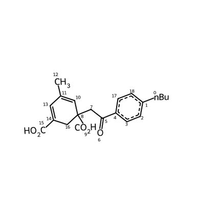 CCCCc1ccc(C(=O)CC2(C(=O)O)C=C(C)C=C(C(=O)O)C2)cc1